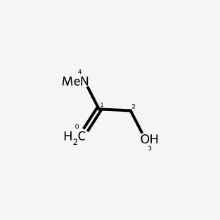 C=C(CO)NC